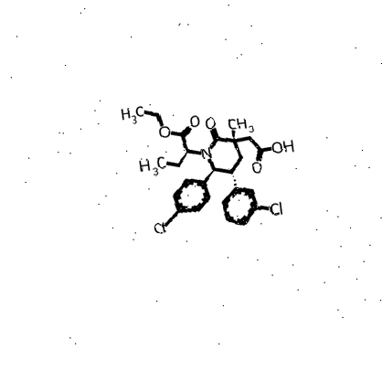 CCOC(=O)[C@H](CC)N1C(=O)[C@](C)(CC(=O)O)C[C@H](c2cccc(Cl)c2)[C@H]1c1ccc(Cl)cc1